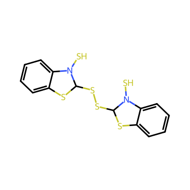 SN1c2ccccc2SC1SSC1Sc2ccccc2N1S